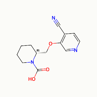 N#Cc1ccncc1OC[C@H]1CCCCN1C(=O)O